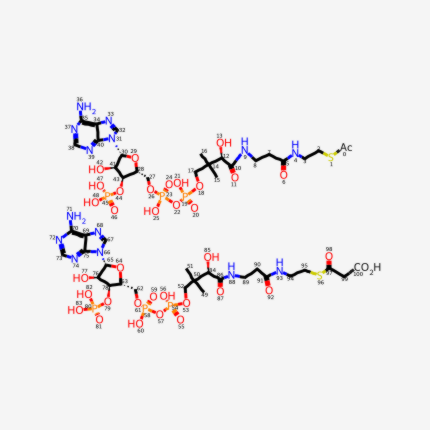 CC(=O)SCCNC(=O)CCNC(=O)[C@H](O)C(C)(C)COP(=O)(O)OP(=O)(O)OC[C@H]1O[C@@H](n2cnc3c(N)ncnc32)[C@H](O)[C@@H]1OP(=O)(O)O.CC(C)(COP(=O)(O)OP(=O)(O)OC[C@H]1O[C@@H](n2cnc3c(N)ncnc32)[C@H](O)[C@@H]1OP(=O)(O)O)[C@@H](O)C(=O)NCCC(=O)NCCSC(=O)CC(=O)O